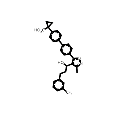 Cc1noc(-c2ccc(-c3ccc(C4(C(=O)O)CC4)cc3)cc2)c1C(O)CCc1cccc(C(F)(F)F)c1